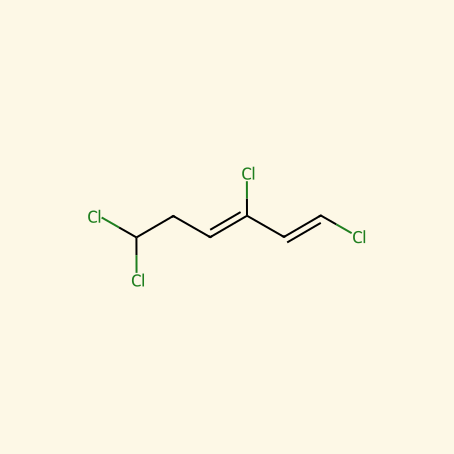 ClC=CC(Cl)=CCC(Cl)Cl